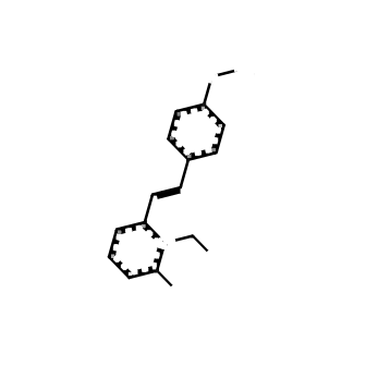 CC[n+]1c(C)cccc1C=Cc1ccc(OC)cc1